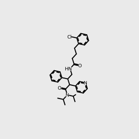 CC(C)N(C(=O)C(c1cccnc1)C(CNC(=O)CCCc1ccccc1Cl)c1ccccc1)C(C)C